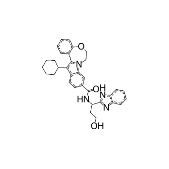 O=C(NC(CCO)c1nc2ccccc2[nH]1)c1ccc2c(C3CCCCC3)c3n(c2c1)CCOc1ccccc1-3